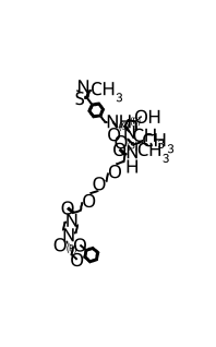 Cc1ncsc1-c1ccc(CNC(=O)[C@@H]2C[C@@H](O)CN2C(=O)[C@@H](NC(=O)CCOCCOCCOCCC(=O)N2CCN(C(=O)[C@H]3COc4ccccc4O3)CC2)C(C)(C)C)cc1